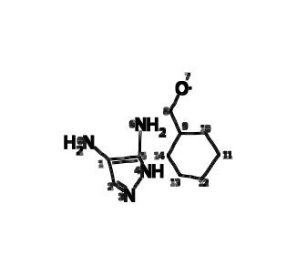 Nc1cn[nH]c1N.[O]CC1CCCCC1